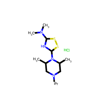 CC(C)N1CC(C)N(C2NC(N(C)C)SS2)C(C)C1.Cl